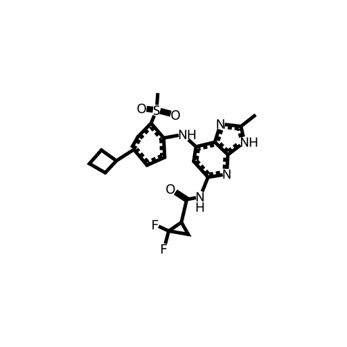 Cc1nc2c(Nc3ccc(C4CCC4)cc3S(C)(=O)=O)cc(NC(=O)C3CC3(F)F)nc2[nH]1